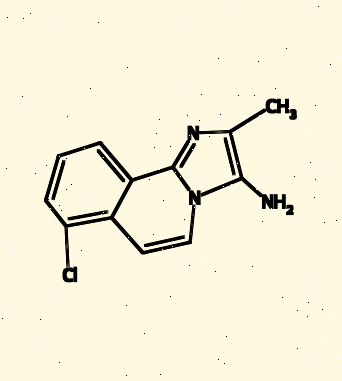 Cc1nc2c3cccc(Cl)c3ccn2c1N